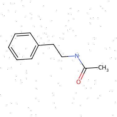 CC(=O)[N]CCc1ccccc1